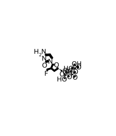 Nc1ccn([C@@H]2O[C@H](COP(=O)(O)OP(=O)(O)OP(=O)(O)O)CC2CF)c(=O)n1